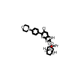 CC(C)C(=O)N1[C@@H]2CC[C@H]1C[C@@H](Oc1nc3nc(-c4ccc(N5CCOCC5)cc4)c(Cl)cc3[nH]1)C2